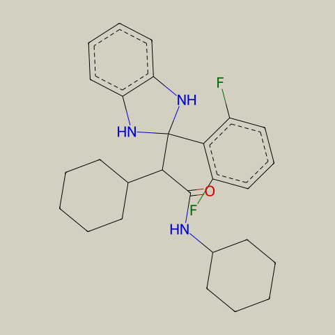 O=C(NC1CCCCC1)C(C1CCCCC1)C1(c2c(F)cccc2F)Nc2ccccc2N1